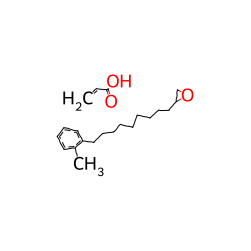 C=CC(=O)O.Cc1ccccc1CCCCCCCCCC1CO1